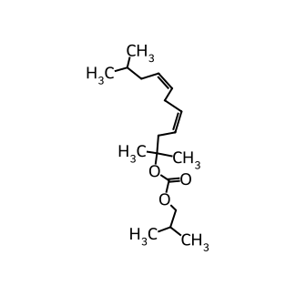 CC(C)C/C=C\C/C=C\CC(C)(C)OC(=O)OCC(C)C